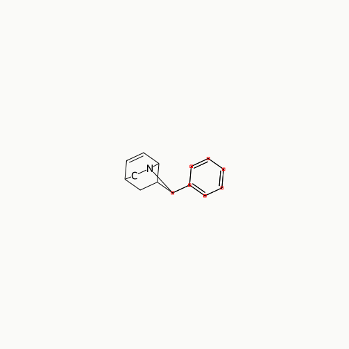 C1=CC2C(Cc3ccccc3)CC1CN2Cc1ccccc1